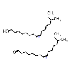 CCC(C)CCCC/C=C\CCCCCCC=O.CCC(C)CCCC/C=C\CCCCCCCO